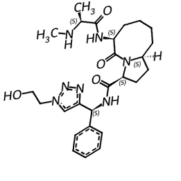 CN[C@@H](C)C(=O)N[C@H]1CCCC[C@H]2CC[C@@H](C(=O)N[C@@H](c3ccccc3)c3cn(CCO)nn3)N2C1=O